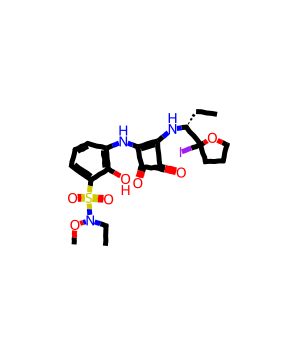 CC[C@@H](Nc1c(Nc2cccc(S(=O)(=O)N(CC)OC)c2O)c(=O)c1=O)C1(I)CCCO1